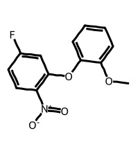 COc1ccccc1Oc1cc(F)ccc1[N+](=O)[O-]